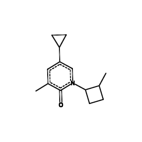 Cc1cc(C2CC2)cn(C2CCC2C)c1=O